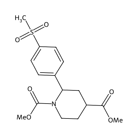 COC(=O)C1CCN(C(=O)OC)C(c2ccc(S(C)(=O)=O)cc2)C1